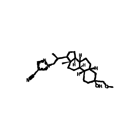 COC[C@@]1(O)CC[C@H]2[C@H](CC[C@@H]3[C@@H]2CC[C@]2(C)[C@@H]([C@H](C)Cn4cc(C#N)cn4)CC[C@@H]32)C1